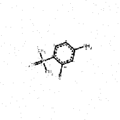 CP(C)(=O)c1ccc(N)cc1Br